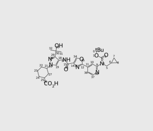 CC(C)(C)OC(=O)N(CC1CC1)c1cc(-c2nc(C(=O)Nc3cn(C4CCCC(C(=O)O)C4)nc3C(C)(C)O)co2)ccn1